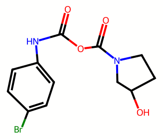 O=C(Nc1ccc(Br)cc1)OC(=O)N1CCC(O)C1